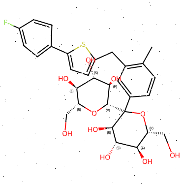 Cc1ccc(C2([C@@H]3O[C@H](CO)[C@@H](O)[C@H](O)[C@H]3O)O[C@H](CO)[C@@H](O)[C@H](O)[C@H]2O)cc1Cc1ccc(-c2ccc(F)cc2)s1